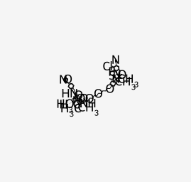 CC(C)(C)C(NC(=O)COCCCOCCCCOc1ccc(N2C(=S)N(c3ccc(C#N)c(Cl)c3F)C(=O)C2(C)C)cc1)C(=O)N1C[C@H](O)C[C@H]1C(=O)NCc1ccc(-c2cnco2)cc1